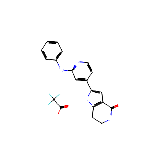 O=C(O)C(F)(F)F.O=C1NCCc2[nH]c(-c3ccnc(Nc4ccccc4)c3)cc21